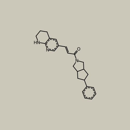 O=C(/C=C/c1cnc2c(c1)CCCN2)N1CC2CC(c3ccccc3)CC2C1